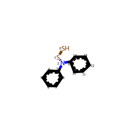 SSN(c1ccccc1)c1ccccc1